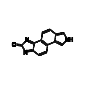 O=C1N=c2ccc3c(ccc4c[nH]cc43)c2=N1